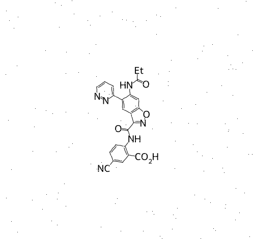 CCC(=O)Nc1cc2onc(C(=O)Nc3ccc(C#N)cc3C(=O)O)c2cc1-c1cccnn1